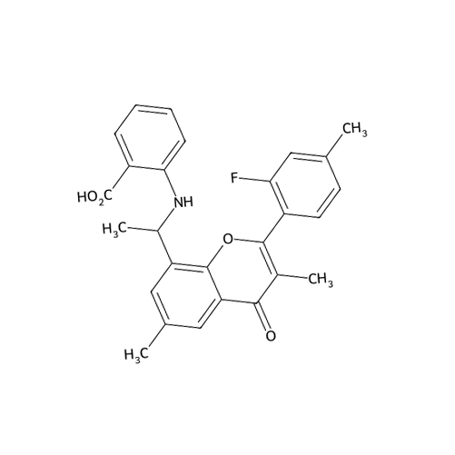 Cc1ccc(-c2oc3c(C(C)Nc4ccccc4C(=O)O)cc(C)cc3c(=O)c2C)c(F)c1